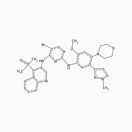 COc1cc(N2CCOCC2)c(-c2ccn(C)n2)cc1Nc1ncc(Br)c(Nc2cnc3ccccc3c2P(C)(C)=O)n1